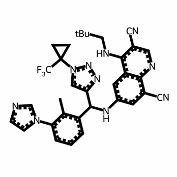 Cc1c(C(Nc2cc(C#N)c3ncc(C#N)c(NCC(C)(C)C)c3c2)c2cn(C3(C(F)(F)F)CC3)nn2)cccc1-n1ccnc1